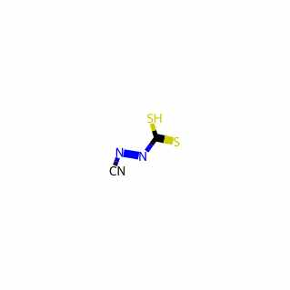 N#CN=NC(=S)S